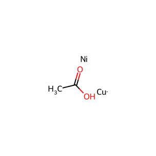 CC(=O)O.[Cu].[Ni]